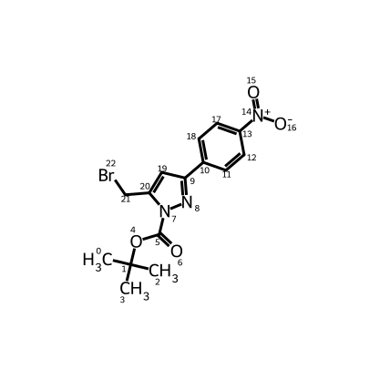 CC(C)(C)OC(=O)n1nc(-c2ccc([N+](=O)[O-])cc2)cc1CBr